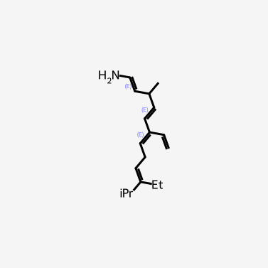 C=CC(/C=C/C(C)/C=C/N)=C\CC=C(CC)C(C)C